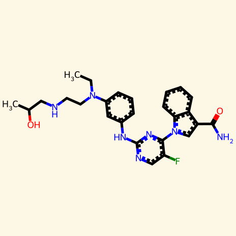 CCN(CCNCC(C)O)c1cccc(Nc2ncc(F)c(-n3cc(C(N)=O)c4ccccc43)n2)c1